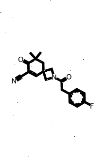 CC1(C)CC2(C=C(C#N)C1=O)CN(C(=O)Cc1ccc(F)cc1)C2